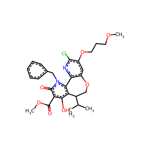 COCCCOc1cc2c(nc1Cl)-c1c(c(O)c(C(=O)OC)c(=O)n1Cc1ccccc1)C(C(C)C)CO2